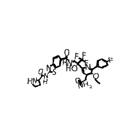 CCOc1c(CC(N)=O)cc([C@@](O)(CNC(=O)c2ccc3nc(NC(=O)C4CCCN4)sc3c2)C(F)(F)F)nc1-c1ccc(F)cc1